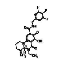 C=C1CCCN2[C@@H]1N(CC)C(=O)c1c(O)c(=O)c(C(=O)NCc3cc(F)c(F)c(F)c3)cn12